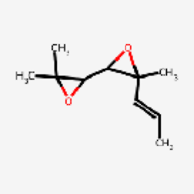 CC=CC1(C)OC1C1OC1(C)C